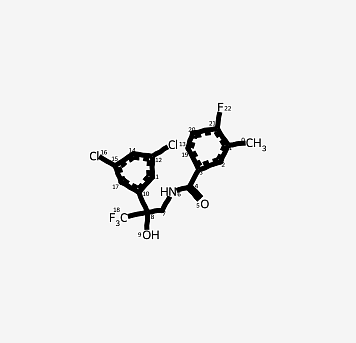 Cc1cc(C(=O)NCC(O)(c2cc(Cl)cc(Cl)c2)C(F)(F)F)ccc1F